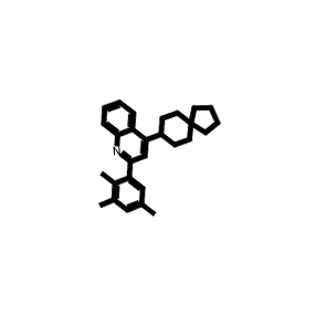 Cc1cc(C)c(C)c(-c2cc(C3CCC4(CCCC4)CC3)c3ccccc3n2)c1